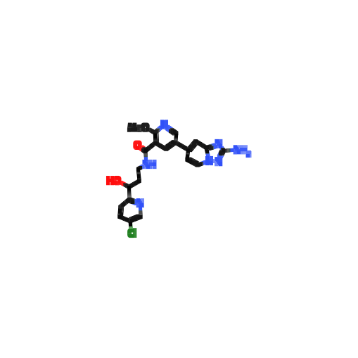 COc1ncc(-c2ccn3nc(N)nc3c2)cc1C(=O)NCCC(O)c1ccc(Cl)cn1